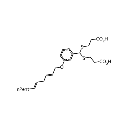 CCCCCC=CCC=CCOc1cccc(C(SCCC(=O)O)SCCC(=O)O)c1